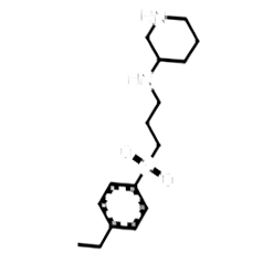 CCc1ccc(S(=O)(=O)CCCNC2CCCNC2)cc1